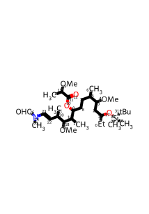 CCC(CC(OC)C(C)CCC(OC(=O)C(C)OC)C(C)C(OC)C(C)/C=C/N(C)C=O)O[Si](C)(C)C(C)(C)C